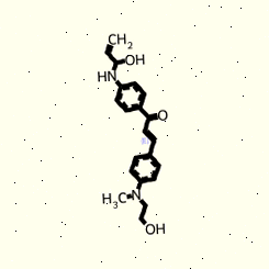 C=CC(O)Nc1ccc(C(=O)/C=C/c2ccc(N(C)CCO)cc2)cc1